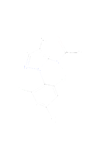 CCC(=O)N(Cl)c1c([N+](=O)[O-])cnn1-c1c(Cl)cc(C(F)(F)F)cc1Cl